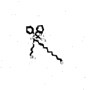 CCCCCCC(C/C=C/CCCCCCCC=O)O[Si](c1ccccc1)(c1ccccc1)C(C)(C)C